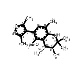 COc1c(-c2c(C)noc2C)cc(C)c2c1[C@@H](C)[C@H](O)C(C)(C)N2